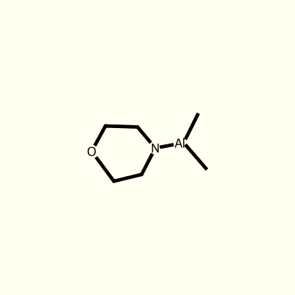 [CH3][Al]([CH3])[N]1CCOCC1